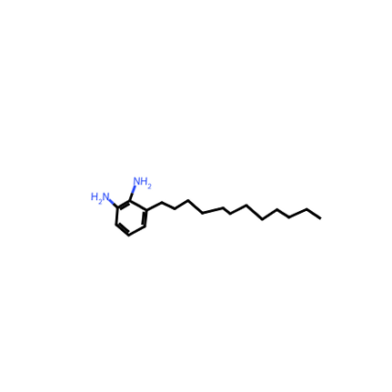 CCCCCCCCCCCCc1cccc(N)c1N